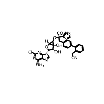 N#CCc1ccccc1-c1ccc(C[C@](OC2[C@H]3O[C@@H](n4cnc5c(N)nc(Cl)nc54)[C@H](O)[C@@]23O)(C(=O)O)c2cscn2)cc1